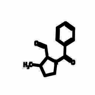 CC1CCN(C(=O)c2ccccc2)C1C=O